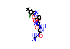 CN(C)CCNC(=O)c1ccc(Nc2cc(-c3cccc(-n4ncc5cc(C(C)(C)C)cc(F)c5c4=O)c3CO)nn(C)c2=O)nc1